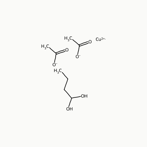 CC(=O)[O-].CC(=O)[O-].CCCC(O)O.[Cu+2]